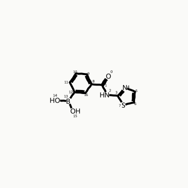 O=C(Nc1nccs1)c1cccc(B(O)O)c1